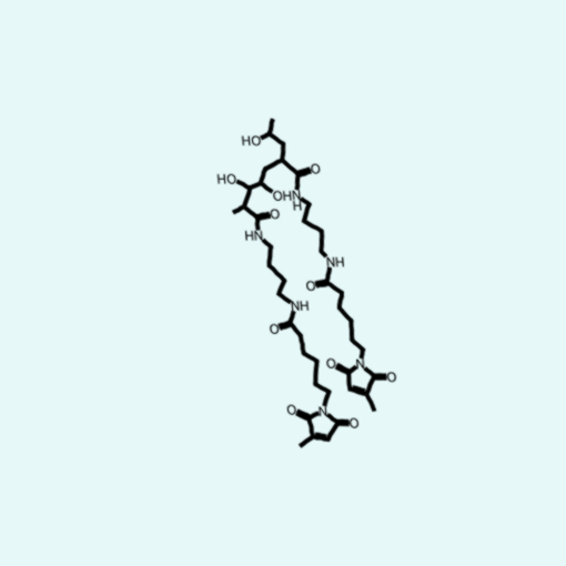 CC1=CC(=O)N(CCCCCC(=O)NCCCCNC(=O)C(CC(C)O)CC(O)C(O)C(C)C(=O)NCCCCNC(=O)CCCCCN2C(=O)C=C(C)C2=O)C1=O